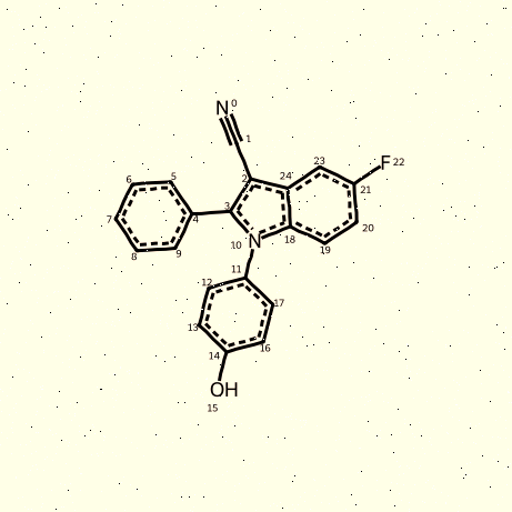 N#Cc1c(-c2ccccc2)n(-c2ccc(O)cc2)c2ccc(F)cc12